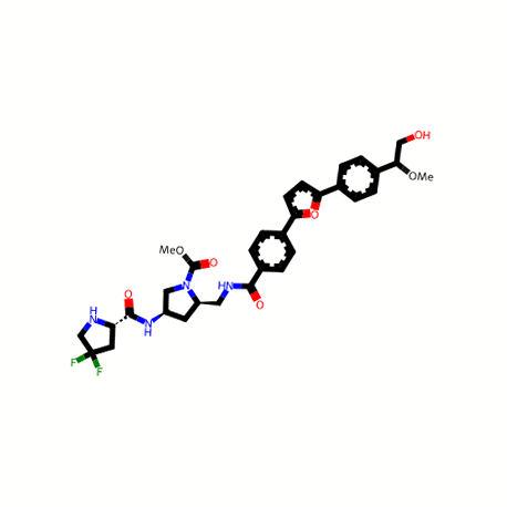 COC(=O)N1C[C@H](NC(=O)[C@@H]2CC(F)(F)CN2)C[C@@H]1CNC(=O)c1ccc(-c2ccc(-c3ccc(C(CO)OC)cc3)o2)cc1